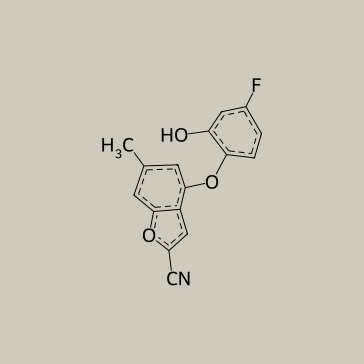 Cc1cc(Oc2ccc(F)cc2O)c2cc(C#N)oc2c1